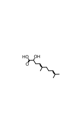 CC(C)=CCC/C(C)=C/CC(O)C(=O)O